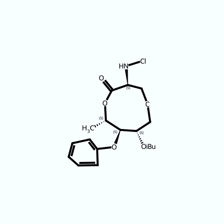 CC(C)CO[C@H]1CCC[C@H](NCl)C(=O)O[C@@H](C)[C@@H]1Oc1ccccc1